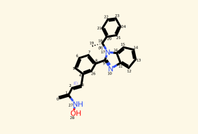 C=C(/C=C/c1cccc(-c2nc3ccccc3n2[C@H](C)c2ccccc2)c1)NO